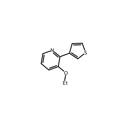 CCOc1cccnc1-c1ccsc1